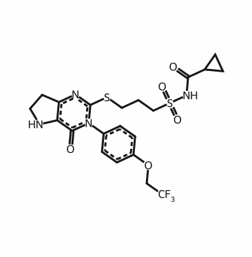 O=C(NS(=O)(=O)CCCSc1nc2c(c(=O)n1-c1ccc(OCC(F)(F)F)cc1)NCC2)C1CC1